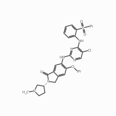 CC(C)Oc1cc2c(cc1Nc1ncc(Cl)c(Nc3ccccc3S(=O)(=O)C(C)C)n1)C(=O)N([C@@H]1CCN(C)C1)C2